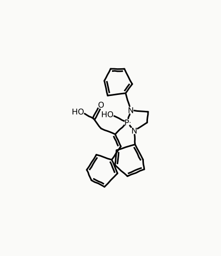 O=C(O)C/C(=C\c1ccccc1)[P]1(O)N(c2ccccc2)CCN1c1ccccc1